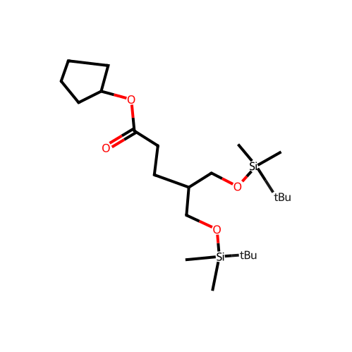 CC(C)(C)[Si](C)(C)OCC(CCC(=O)OC1CCCC1)CO[Si](C)(C)C(C)(C)C